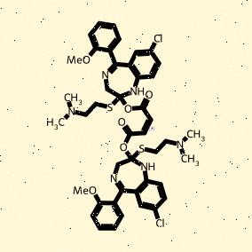 COc1ccccc1C1=NCC(OC(=O)/C=C\C(=O)OC2(SCCN(C)C)CN=C(c3ccccc3OC)c3cc(Cl)ccc3N2)(SCCN(C)C)Nc2ccc(Cl)cc21